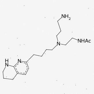 CC(=O)NCCN(CCCN)CCCCc1ccc2c(n1)NCCC2